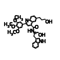 COc1cc(-c2cc(C(=O)N[C@@H](CO)Cc3c[nH]c4ccccc34)c3cc(CCCO)ccc3n2)cc(OC)c1OC